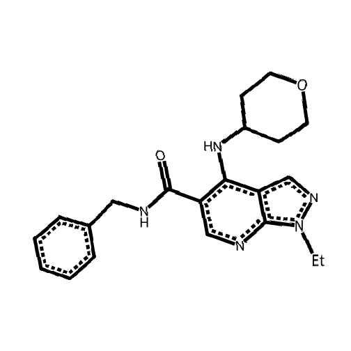 CCn1ncc2c(NC3CCOCC3)c(C(=O)NCc3ccccc3)cnc21